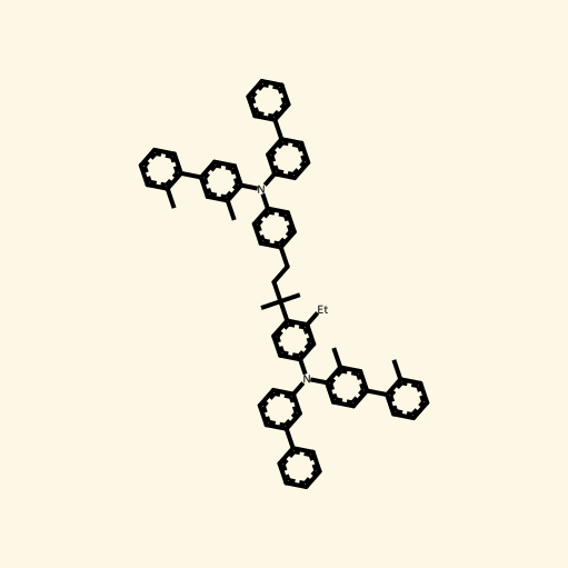 CCc1cc(N(c2cccc(-c3ccccc3)c2)c2ccc(-c3ccccc3C)cc2C)ccc1C(C)(C)CCc1ccc(N(c2cccc(-c3ccccc3)c2)c2ccc(-c3ccccc3C)cc2C)cc1